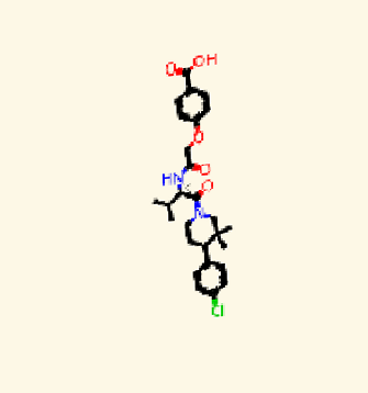 CC(C)[C@@H](NC(=O)COc1ccc(C(=O)O)cc1)C(=O)N1CCC(c2ccc(Cl)cc2)C(C)(C)C1